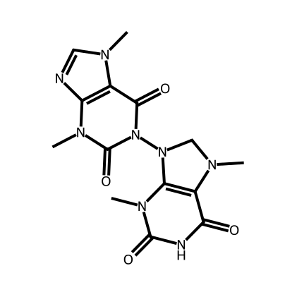 CN1CN(n2c(=O)c3c(ncn3C)n(C)c2=O)c2c1c(=O)[nH]c(=O)n2C